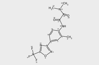 Cc1cc(-c2noc(C(F)(F)F)n2)ccc1NC(=O)C(=O)N(C)C